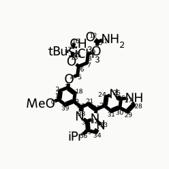 COc1cc(OCC(CCOC(N)=O)O[Si](C)(C)C(C)(C)C)cc(-c2cc(-c3cnc4[nH]ccc4c3)n3ncc(C(C)C)c3n2)c1